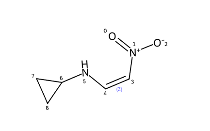 O=[N+]([O-])/C=C\NC1CC1